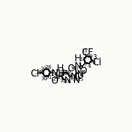 C[C@H](NC(=O)c1cc(Cl)cc(C(F)(F)F)c1)c1ncnn1-c1ccc(C(=O)Nc2ccc(Cl)cc2)cn1